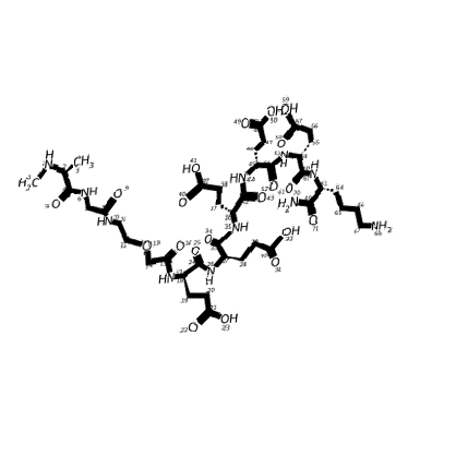 CN[C@@H](C)C(=O)NCC(=O)NCCOCC(=O)N[C@H](CCC(=O)O)C(=O)N[C@H](CCC(=O)O)C(=O)N[C@H](CCC(=O)O)C(=O)N[C@H](CCC(=O)O)C(=O)N[C@H](CCC(=O)O)C(=O)N[C@H](CCCCN)C(N)=O